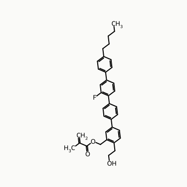 C=C(C)C(=O)OCc1cc(-c2ccc(-c3ccc(-c4ccc(CCCCC)cc4)cc3F)cc2)ccc1CCO